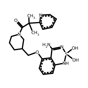 CC(C)(C(=O)N1CCCC(COc2cccc3c2C(N)=NS(O)(O)N3)C1)c1ccccn1